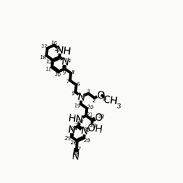 COCCN(CCCCc1ccc2c(n1)NCCC2)CCC(Nc1ncc(C#N)cn1)C(=O)O